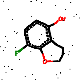 Oc1ccc(F)c2c1CCO2